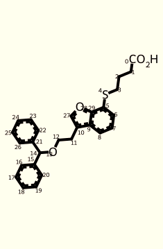 O=C(O)CCCSc1cccc2c(CCOC(c3ccccc3)c3ccccc3)coc12